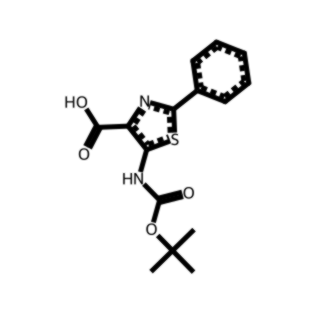 CC(C)(C)OC(=O)Nc1sc(-c2ccccc2)nc1C(=O)O